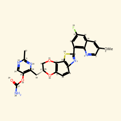 COc1cnc2c(-c3nc4ccc5c(c4s3)OC[C@@H](Cc3nc(C)ncc3OC(N)=O)O5)cc(F)cc2c1